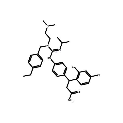 CCc1ccc(CN(CCN(C)C)/C(=N\C(C)C)Nc2ccc(C(CC(N)=O)c3ccc(Cl)cc3Cl)cc2)cc1